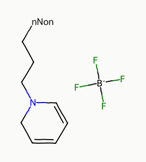 CCCCCCCCCCCCN1C=CC=CC1.F[B-](F)(F)F